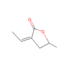 C/C=C1/CC(C)OC1=O